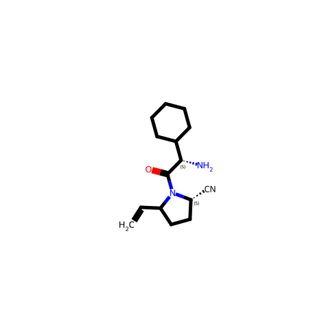 C=CC1CC[C@@H](C#N)N1C(=O)[C@@H](N)C1CCCCC1